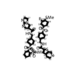 CNS(=O)(=O)c1ccccc1S(=O)(=O)c1ccc(CNC(=O)c2cnc3nccn3c2)cc1.CSc1ccc(S(=O)(=O)c2ccc(CNC(=O)c3cc4ccncc4s3)cc2)cc1F